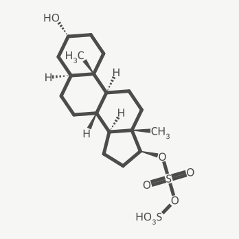 C[C@]12CC[C@@H](O)C[C@@H]1CC[C@@H]1[C@@H]2CC[C@]2(C)[C@@H](OS(=O)(=O)OS(=O)(=O)O)CC[C@@H]12